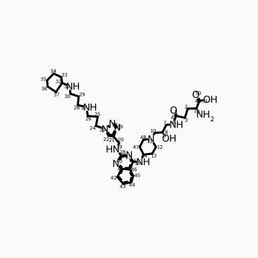 N[C@@H](CCC(=O)NC[C@@H](O)CN1CCC(Nc2nc(NCc3cn(CCCNCCCNC4CCCCC4)nn3)nc3ccccc23)CC1)C(=O)O